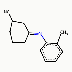 Cc1ccccc1/N=C1\CCCC(C#N)C1